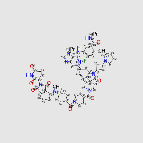 Cc1cc(F)c(Nc2nc(-c3ccc4c(c3)N(C3CC(N5CCCCC5)C3)C(=O)C43CCN(C(=O)C4CCN(C(=O)C5CCC(N(C)c6cccc7c6C(=O)N(C6CCC(=O)NC6=O)C7=O)CC5)CC4)CC3)cc3ncn(C(C)C)c23)cc1C(=O)NC(C)C